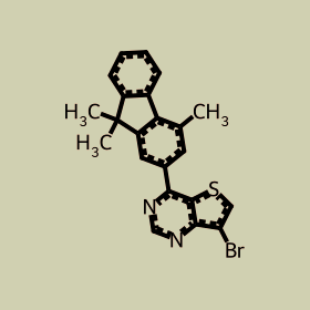 Cc1cc(-c2ncnc3c(Br)csc23)cc2c1-c1ccccc1C2(C)C